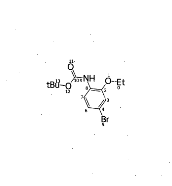 CCOc1cc(Br)ccc1NC(=O)OC(C)(C)C